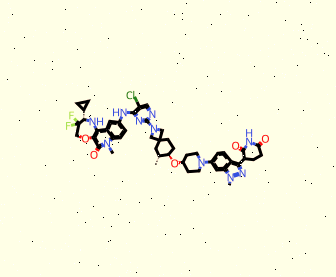 C[C@@H]1CC2(CC[C@H]1OC1CCN(c3ccc4c(C5CCC(=O)NC5=O)nn(C)c4c3)CC1)CN(c1ncc(Cl)c(Nc3ccc4c(c3)c3c(c(=O)n4C)OCC(F)(F)[C@H](C4CC4)N3)n1)C2